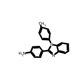 Cc1ccc(-n2c(-c3ccc(N)cc3)nc3ccccc32)cc1